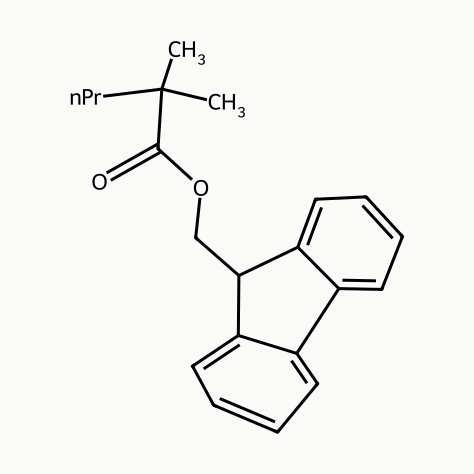 CCCC(C)(C)C(=O)OCC1c2ccccc2-c2ccccc21